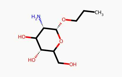 CCCO[C@@H]1OC(CO)[C@H](O)C(O)[C@@H]1N